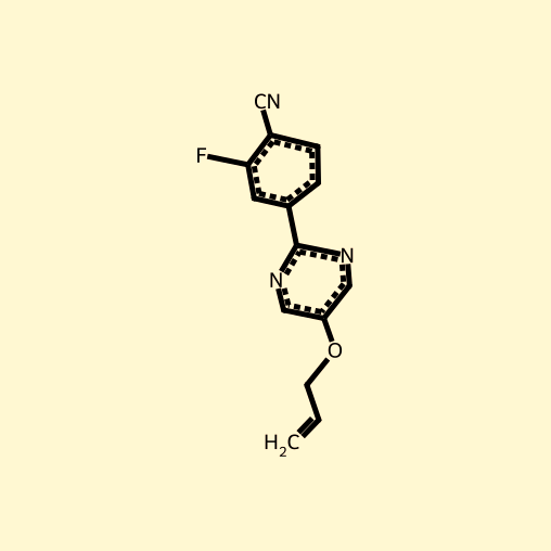 C=CCOc1cnc(-c2ccc(C#N)c(F)c2)nc1